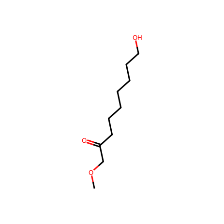 COCC(=O)CCCCCCCO